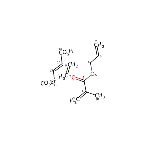 C=C.C=CCOC(=O)C(=C)C.CCOC(=O)C=CC(=O)O